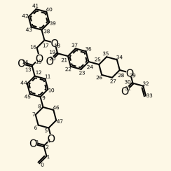 C=CC(=O)OC1CCC(c2ccc(C(=O)OCC(OC(=O)c3ccc(C4CCC(OC(=O)C=C)CC4)cc3)c3ccccc3)cc2)CC1